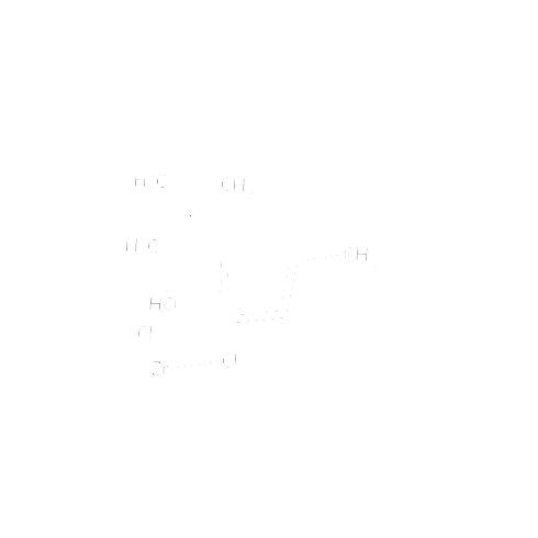 Cc1ccc(O)c(C(C)(C)C)c1.[Cl][Zr][Cl]